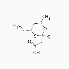 CCC1CC(C)OC(C)(CC(=O)O)S1